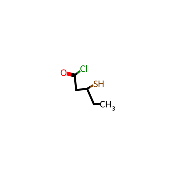 CCC(S)CC(=O)Cl